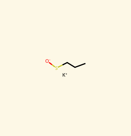 CCCS[O-].[K+]